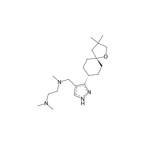 CN(C)CCN(C)Cc1c[nH]nc1[C@H]1CC[C@@]2(CC1)CC(C)(C)CO2